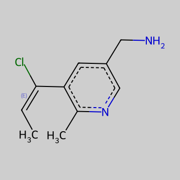 C/C=C(/Cl)c1cc(CN)cnc1C